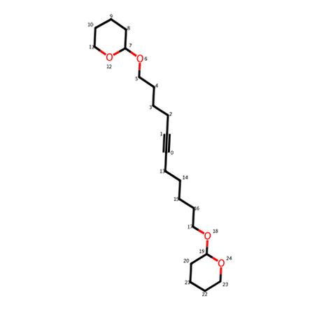 C(#CCCCCOC1CCCCO1)CCCCCOC1CCCCO1